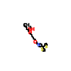 CCCCC(O)COCCCCCCOCCN1CCC(=C(c2cccs2)c2cccs2)CC1